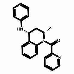 C[C@H]1C[C@@H](Nc2ccccc2)c2ccccc2N1C(=O)c1ccccn1